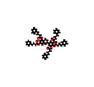 O=C(CCCc1ccccc1)Oc1cc(OC(=O)CCCc2ccccc2)c2c(c1)OC(c1cc(OC(=O)CCCc3ccccc3)c(OC(=O)CCCc3ccccc3)c(OC(=O)CCCc3ccccc3)c1)CC2